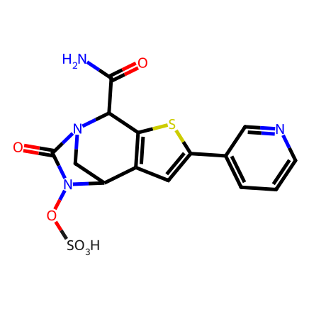 NC(=O)C1c2sc(-c3cccnc3)cc2C2CN1C(=O)N2OS(=O)(=O)O